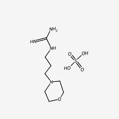 N=C(N)NCCCN1CCOCC1.O=S(=O)(O)O